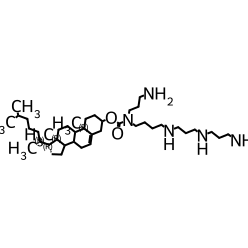 CC(C)CCC[C@@H](C)[C@H]1CCC2C3CC=C4CC(OC(=O)N(CCCN)CCCCNCCCNCCCN)CC[C@]4(C)C3CC[C@@]21C